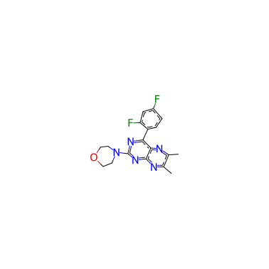 Cc1nc2nc(N3CCOCC3)nc(-c3ccc(F)cc3F)c2nc1C